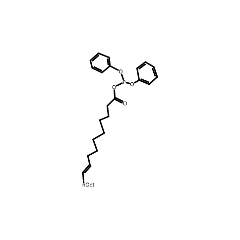 CCCCCCCCC=CCCCCCCCC(=O)OP(Oc1ccccc1)Oc1ccccc1